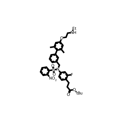 CCNCCOc1cc(C)c(-c2cccc(CN(c3ccc(CCC(=O)OC(C)(C)C)c(F)c3)S(=O)(=O)c3ccccc3[N+](=O)[O-])c2)c(C)c1